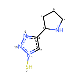 Sn1cc(C2CCCN2)nn1